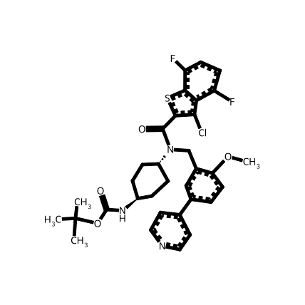 COc1ccc(-c2ccncc2)cc1CN(C(=O)c1sc2c(F)ccc(F)c2c1Cl)[C@H]1CC[C@H](NC(=O)OC(C)(C)C)CC1